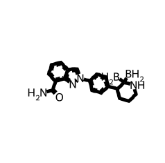 BC1(B)NCCCC1c1ccc(-n2cc3cccc(C(N)=O)c3n2)cc1